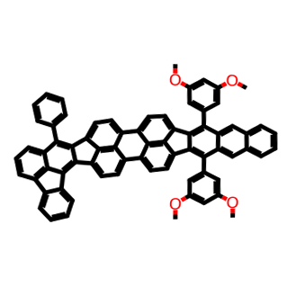 COc1cc(OC)cc(-c2c3c(c(-c4cc(OC)cc(OC)c4)c4cc5ccccc5cc24)-c2ccc4c5ccc6c7c(ccc(c8ccc-3c2c84)c57)c2c(-c3ccccc3)c3cccc4c5ccccc5c(c34)c62)c1